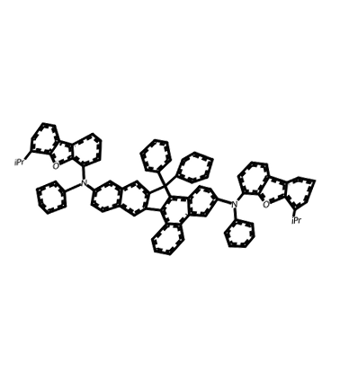 CC(C)c1cccc2c1oc1c(N(c3ccccc3)c3ccc4cc5c(cc4c3)C(c3ccccc3)(c3ccccc3)c3c-5c4ccccc4c4cc(N(c5ccccc5)c5cccc6c5oc5c(C(C)C)cccc56)ccc34)cccc12